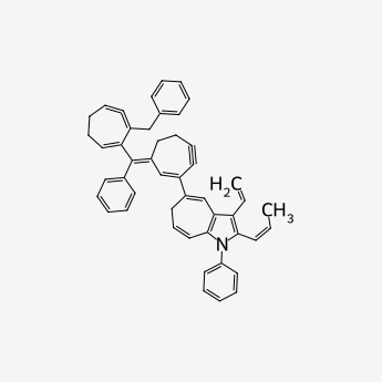 C=Cc1c2c(n(-c3ccccc3)c1/C=C\C)C=CCC(C1=C/C(=C(/C3=CCCC=C=C3Cc3ccccc3)c3ccccc3)CCC#C1)=C2